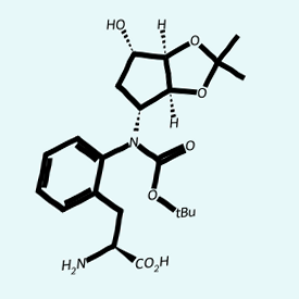 CC(C)(C)OC(=O)N(c1ccccc1C[C@H](N)C(=O)O)[C@@H]1C[C@H](O)[C@H]2OC(C)(C)O[C@H]21